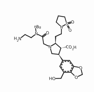 CCCCN(CCN)C(=O)CN1C[C@H](c2cc(CO)c3c(c2)OCO3)[C@@H](C(=O)O)[C@@H]1CCN1CCCS1(=O)=O